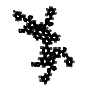 [C-]#[N+]c1cccc(-c2ccc(-c3nc(-c4ccc(-c5cccc(C#N)c5)c(-n5c6ccc(C(=O)OCc7ccccc7)cc6c6cc(C(=O)OCc7ccccc7)ccc65)c4)nc(-c4ccccc4-c4ccc(C#N)cc4)n3)cc2-n2c3ccc(C(=O)OCc4ccccc4)cc3c3cc(C(=O)OCc4ccccc4)ccc32)c1